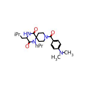 CCCN1C(=O)C(CC(C)C)NC(=O)C12CCN(C(=O)c1ccc(N(C)C)cc1)CC2